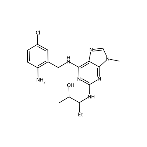 CCC(Nc1nc(NCc2cc(Cl)ccc2N)c2ncn(C)c2n1)C(C)O